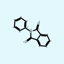 O=C1c2ccccc2C(=O)[N+]1c1ccccc1